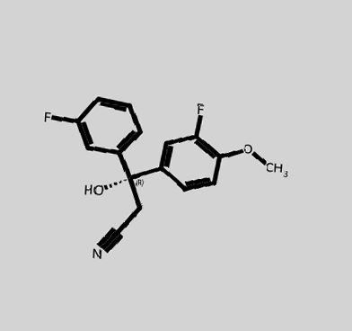 COc1ccc([C@@](O)(CC#N)c2cccc(F)c2)cc1F